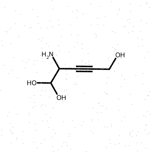 NC(C#CCO)C(O)O